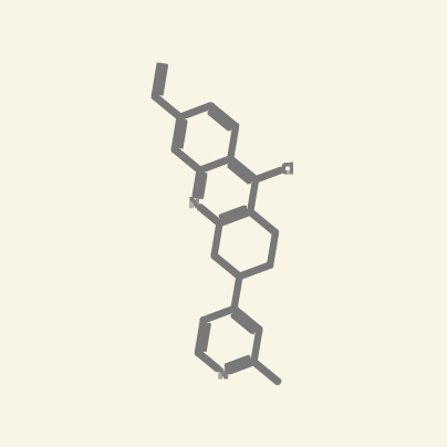 C=Cc1ccc2c(Cl)c3c(nc2c1)CC(c1ccnc(C)c1)CC3